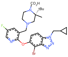 CC(C)(C)[C@]1(C)CN(Cc2cc(F)cnc2Oc2ccc3c(nnn3CC3CC3)c2Br)CCN1C(=O)O